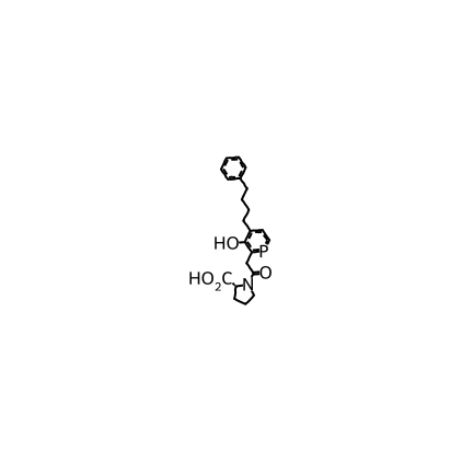 O=C(O)[C@@H]1CCCN1C(=O)Cc1pccc(CCCCc2ccccc2)c1O